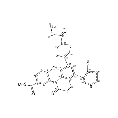 COC(=O)c1ccc(C)c(N2C(=O)CCc3c(-c4ccccc4Cl)cc(C4=CCN(C(=O)OC(C)(C)C)CC4)cc32)c1